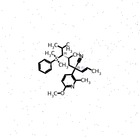 C/C=C/[C@@](C#N)(CC(C)[C@@H](C(C)C)S(C)(C)c1ccccc1)c1ccc(OC)nc1C